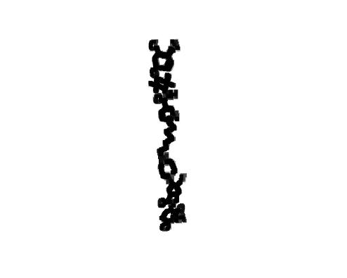 CC1(C)[C@H](NC(=O)c2ccc(CCCCCCN3CCN(c4cc5c(cc4F)CN(C4CCC(=O)NC4=O)C5=O)CC3)nc2)C(C)(C)[C@H]1Oc1ccc(C#N)c(Cl)c1